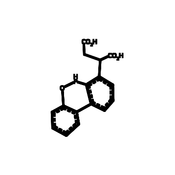 O=C(O)CC(C(=O)O)c1cccc2c1POc1ccccc1-2